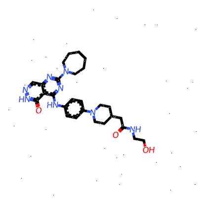 O=C(CC1CCN(c2ccc(Nc3nc(N4CCCCCC4)nc4cn[nH]c(=O)c34)cc2)CC1)NCCO